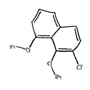 CC(C)Oc1cccc2ccc(Cl)c(OC(C)C)c12